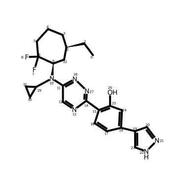 CC[C@@H]1CCCC(F)(F)[C@H](N(c2cnc(-c3ccc(-c4cn[nH]c4)cc3O)nn2)C2CC2)C1